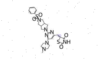 CN1CCN(c2cc(/C=C3\SC(=O)NC3=O)nc(N3CC4CN(S(=O)(=O)c5ccccc5)CC4C3)n2)CC1